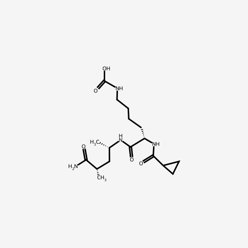 C[C@@H](C[C@H](C)C(N)=O)NC(=O)[C@H](CCCCNC(=O)O)NC(=O)C1CC1